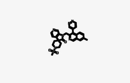 Cc1ccc2c(-c3ccnnc3)c(CN3C(=O)C4(CCN(S(C)(=O)=O)CC4)c4ccncc43)ncc2c1